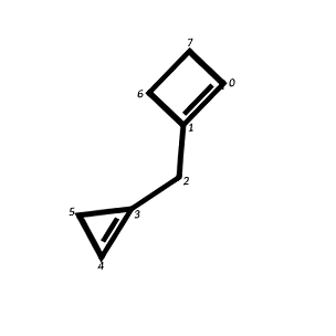 [C]1=C(CC2=CC2)CC1